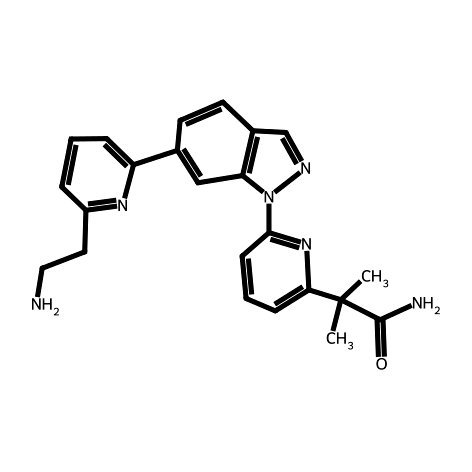 CC(C)(C(N)=O)c1cccc(-n2ncc3ccc(-c4cccc(CCN)n4)cc32)n1